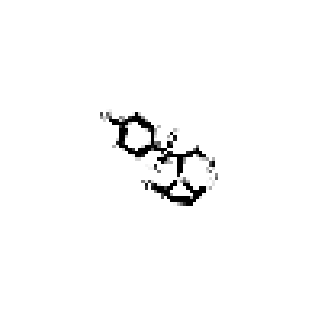 O=C1C=CC(=O)N1C(CO)S(=O)(=O)c1ccc(Br)cc1